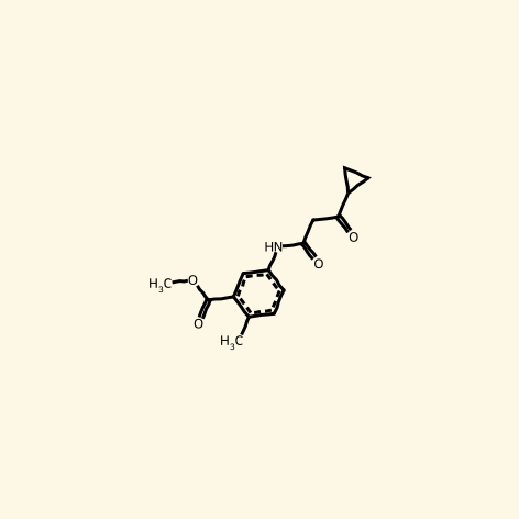 COC(=O)c1cc(NC(=O)CC(=O)C2CC2)ccc1C